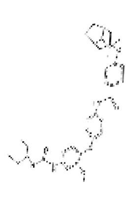 CCC(CC)NC(=O)Nc1ccc(Oc2ccc(NC(=O)c3ccc(OC4CC5CCC(C4)N5C(C)C)cc3)cc2)c(OC)c1